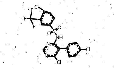 O=S(=O)(Nc1ncnc(Cl)c1-c1ccc(Cl)cc1)c1ccc(Cl)c(C(F)(F)F)c1